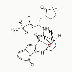 CS(=O)(=O)/C(F)=C/[C@H](C[C@H]1CCNC1=O)NC(=O)[C@@H]1[C@H]2CC[C@H](CC2(F)F)N1C(=O)c1cc2cccc(Cl)c2[nH]1